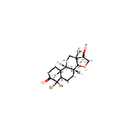 C[C@]12CCC(=O)C(Br)(Br)C1CC[C@@H]1[C@H]2CC[C@]2(C)C(=O)CO[C@@H]12